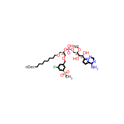 CCCCCCCCCCCCCCCCCCOC[C@H](COCc1cc(F)cc(S(C)(=O)=O)c1)OP(=O)(O)OC[C@@H](OC#N)[C@@H](O)[C@@H](O)c1ccc2c(N)ncnn12